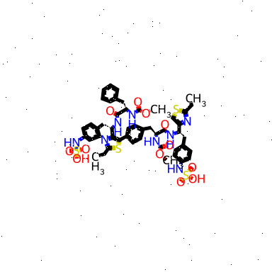 CCc1nc([C@H](Cc2ccc(NS(=O)(=O)O)cc2)NC(=O)[C@H](Cc2ccc(-c3sc(CC)nc3[C@H](Cc3ccc(NS(=O)(=O)O)cc3)NC(=O)[C@H](Cc3ccccc3)NC(=O)OC)cc2)NC(=O)OC)cs1